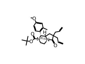 C=CCC1(CC=C)C[C@H]2[C@@H](c3ccc(OC)cc3C)N(C(=O)OC(C)(C)C)CCN2C1=O